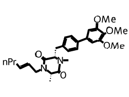 CCCC=CCN1C(=O)[C@H](Cc2ccc(-c3cc(OC)c(OC)c(OC)c3)cc2)N(C)C(=O)[C@@H]1C